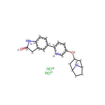 CN1C2CCC1CC(Oc1ccc(-c3ccc4c(c3)CC(=O)N4)nc1)C2.Cl.Cl